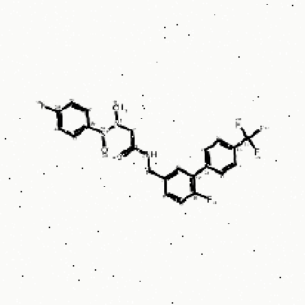 CN(CC(=O)NCc1ccc(F)c(-c2ccc(C(F)(F)F)cc2)c1)[S+]([O-])c1ccc(F)cc1